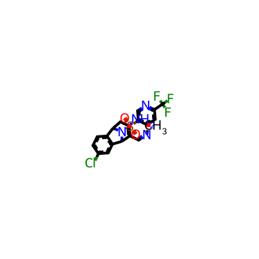 C/N=C\C1=C(N)CC2c3ccc(Cl)cc3C1N2S(=O)(=O)c1ccc(C(F)(F)F)nc1